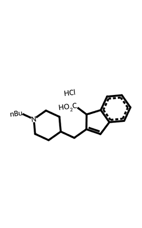 CCCCN1CCC(CC2=Cc3ccccc3C2C(=O)O)CC1.Cl